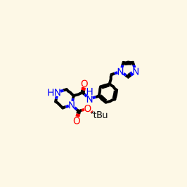 CC(C)(C)OC(=O)N1CCNCC1C(=O)Nc1cccc(Cn2ccnc2)c1